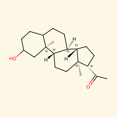 CC(=O)[C@H]1CC[C@H]2[C@@H]3CCC4CCC(O)C[C@]4(C)[C@H]3CC[C@]12C